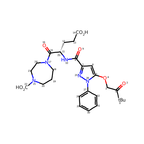 CC(C)(C)C(=O)COc1cc(C(=O)N[C@@H](CCC(=O)O)C(=O)N2CCCN(C(=O)O)CC2)nn1-c1ccccc1